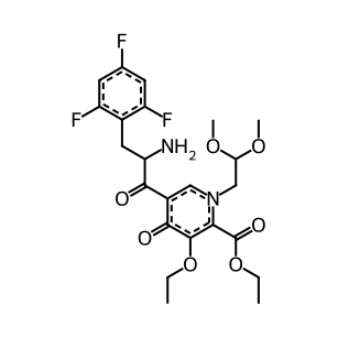 CCOC(=O)c1c(OCC)c(=O)c(C(=O)C(N)Cc2c(F)cc(F)cc2F)cn1CC(OC)OC